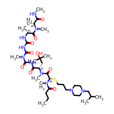 CCCC(=O)N(C)[C@H](SCCCN1CCN(CC(C)C)CC1)C(=O)N(C)[C@@H](CC(C)(C)O)C(=O)NC(=O)N(C)C(=O)NC(=O)N[C@H](C)C(=O)N(C)[C@H](C)C(=O)NC